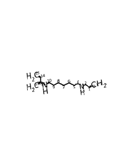 C=CCNCCCCCCCNC(=C)C=C